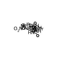 CC(C)C[C@H](NC(=O)[C@H](CCc1ccccc1)NC(=O)CCCCCNc1ccc([N+](=O)[O-])c2nonc12)C(=O)N[C@@H](Cc1ccccc1)C(=O)N[C@@H](CC(C)C)C(=O)[C@@]1(C)CO1